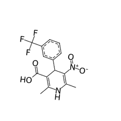 CC1=C(C(=O)O)C(c2cccc(C(F)(F)F)c2)C([N+](=O)[O-])=C(C)N1